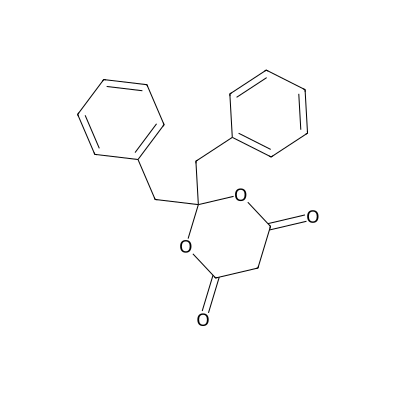 O=C1CC(=O)OC(Cc2ccccc2)(Cc2ccccc2)O1